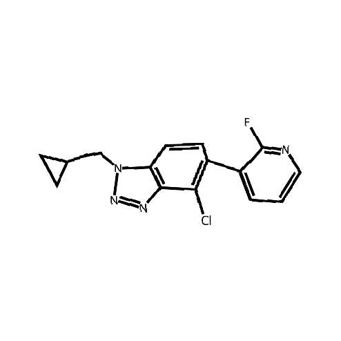 Fc1ncccc1-c1ccc2c(nnn2CC2CC2)c1Cl